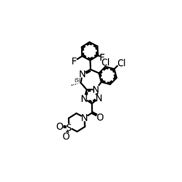 C[C@@H]1N=C(c2c(F)cccc2F)c2c(ccc(Cl)c2Cl)-n2nc(C(=O)N3CCS(=O)(=O)CC3)nc21